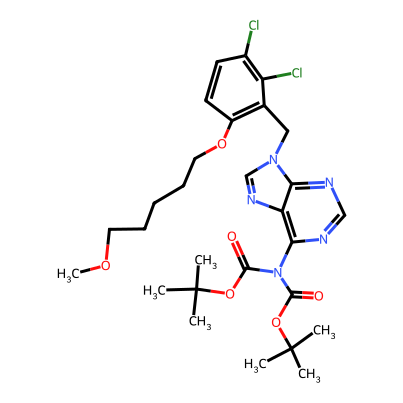 COCCCCCOc1ccc(Cl)c(Cl)c1Cn1cnc2c(N(C(=O)OC(C)(C)C)C(=O)OC(C)(C)C)ncnc21